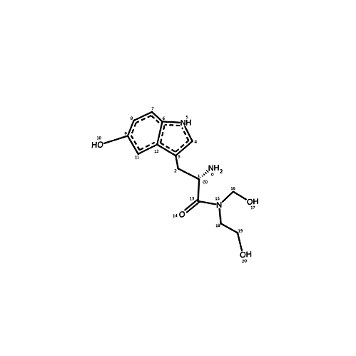 N[C@@H](Cc1c[nH]c2ccc(O)cc12)C(=O)N(CO)CCO